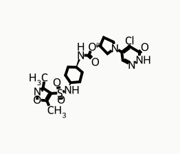 Cc1noc(C)c1S(=O)(=O)N[C@H]1CC[C@H](NC(=O)O[C@@H]2CCN(c3cn[nH]c(=O)c3Cl)C2)CC1